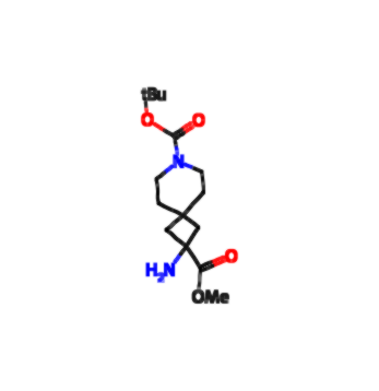 COC(=O)C1(N)CC2(CCN(C(=O)OC(C)(C)C)CC2)C1